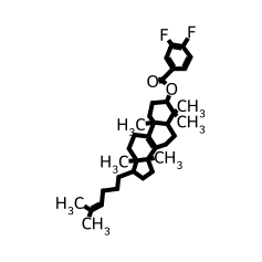 CC(C)=CCCCC1CCC2(C)C3=C(CCC12C)C1(C)CCC(OC(=O)c2ccc(F)c(F)c2)C(C)(C)C1CC3